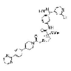 CCc1cc(-c2n[nH]c3ccc(NC(=O)[C@]4(SC)CCN(CC(=O)N5CCC(c6ccc(-c7ncccn7)cc6)CC5)C4)cc23)ccn1